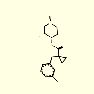 CC[C@@H]1CN(C)CC[C@H]1NC(=O)C1(Cc2cccc(C)c2)CC1